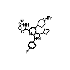 CC(C)N1CCC(c2cc(C(=O)NS(C)(=O)=O)nc3c2c(C2CCC2)nn3-c2ccc(F)cc2)CC1